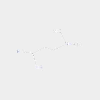 CN(C)CCC(N)N